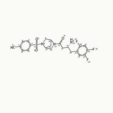 N#Cc1ccc(S(=O)(=O)N2CC3CC2CN3C(=O)C[C@H](N)Cc2cc(F)c(F)cc2F)cc1